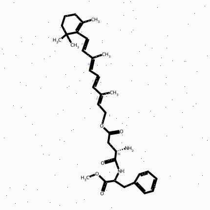 COC(=O)C(Cc1ccccc1)NC(=O)[C@@H](N)CC(=O)OC/C=C(C)/C=C/C=C(C)/C=C/C1=C(C)CCCC1(C)C